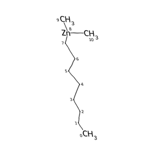 CCCCCCC[CH2][Zn]([CH3])[CH3]